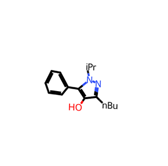 CCCCc1nn(C(C)C)c(-c2ccccc2)c1O